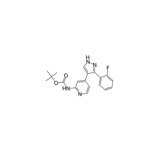 CC(C)(C)OC(=O)Nc1cc(-c2c[nH]nc2-c2ccccc2F)ccn1